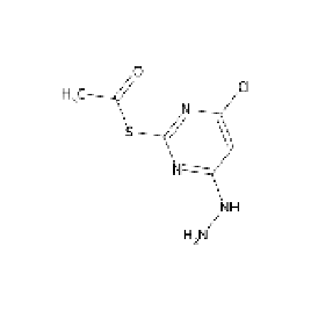 CC(=O)Sc1nc(Cl)cc(NN)n1